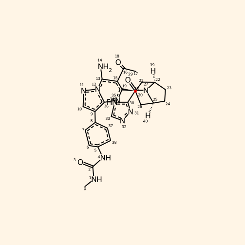 CNC(=O)Nc1ccc(-c2cnn3c(N)c(C(C)=O)c([C@H]4C[C@H]5CC[C@@H](C4)N5C(=O)c4nnc[nH]4)nc23)cc1